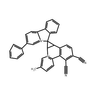 Cc1ccc2[n+](c1)C1C(c3ccc(C#N)c(C#N)c3-2)C12c1ccccc1-c1ccc(-c3ccccc3)c[n+]12